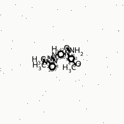 CC(=O)c1ccc(N(C(N)=O)C2CCC(Nc3nc4c(c(N(C)C)n3)CCCC4)CC2)cc1